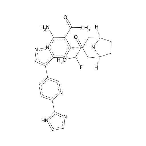 CC(=O)c1c([C@@H]2C[C@H]3CC[C@@H](C2)N3C(=O)C(C)F)nc2c(-c3ccc(-c4ncc[nH]4)nc3)cnn2c1N